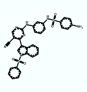 N#Cc1cnc(Nc2cccc(NS(=O)(=O)c3ccc(N)cc3)c2)nc1-c1cn(S(=O)(=O)c2ccccc2)c2ccccc12